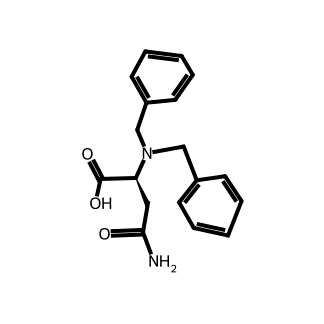 NC(=O)C[C@@H](C(=O)O)N(Cc1ccccc1)Cc1ccccc1